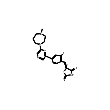 CN1CCCN(c2cncc(-c3ccc(/C=C4\SC(=O)NC4=O)c(F)c3)n2)CC1